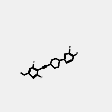 CCc1cc(F)c(C#CC2CCC(c3ccc(F)c(F)c3)CC2)c(F)c1